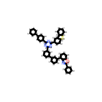 c1ccc(-c2ccc(-c3nc(-c4cccc(-c5cccc(-c6cccc7oc(-c8ccccc8)nc67)c5)c4)nc(-c4ccc5sc6ccccc6c5c4)n3)cc2)cc1